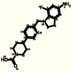 Nc1cc(F)c2c(c1)CCN2Cc1ccc(C2CCN(C(=O)O)CC2)cn1